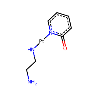 NCC[NH][Pt][n]1ccccc1=O